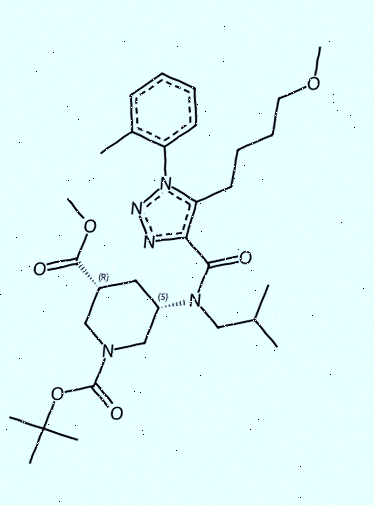 COCCCCc1c(C(=O)N(CC(C)C)[C@H]2C[C@@H](C(=O)OC)CN(C(=O)OC(C)(C)C)C2)nnn1-c1ccccc1C